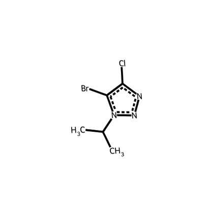 CC(C)n1nnc(Cl)c1Br